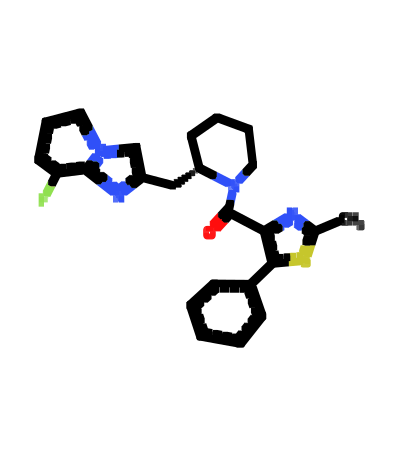 Cc1nc(C(=O)N2CCCC[C@H]2Cc2cn3cccc(F)c3n2)c(-c2ccccc2)s1